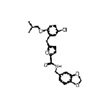 CC(C)COc1ccc(Cl)cc1Cc1ccc(C(=O)NCc2ccc3c(c2)OCO3)o1